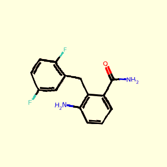 NC(=O)c1cccc(N)c1Cc1cc(F)ccc1F